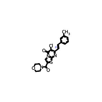 Cc1cccc(/C=C/c2nc3sc(C(=O)N4CCOCC4)cn3c(=O)c2Cl)c1